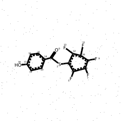 O=C(Sc1c(F)c(F)c(F)c(F)c1F)c1ccc(O)cc1